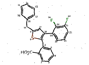 O=C(O)c1ccccc1-c1sc(Cc2ccccc2)cc1-c1cccc(F)c1F